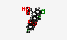 O=C(O)CCc1ccc(Cl)cc1-c1ccc(S(=O)(=O)c2ccc(F)cc2)cc1F